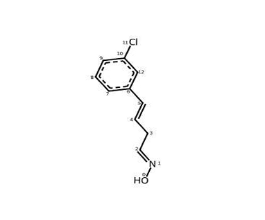 ON=CCC=Cc1cccc(Cl)c1